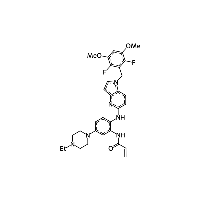 C=CC(=O)Nc1cc(N2CCN(CC)CC2)ccc1Nc1ccc2c(ccn2Cc2c(F)c(OC)cc(OC)c2F)n1